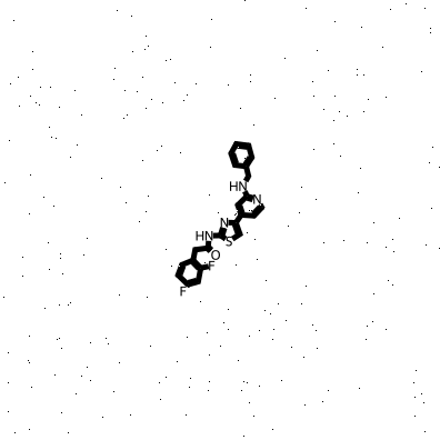 O=C(Cc1ccc(F)cc1F)Nc1nc(-c2ccnc(NCc3ccccc3)c2)cs1